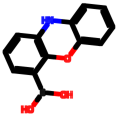 OB(O)c1cccc2c1Oc1ccccc1N2